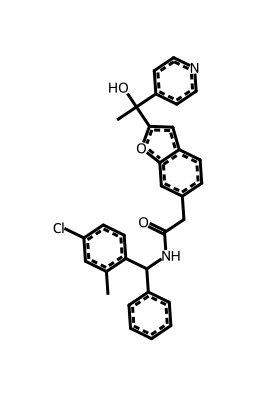 Cc1cc(Cl)ccc1C(NC(=O)Cc1ccc2cc(C(C)(O)c3ccncc3)oc2c1)c1ccccc1